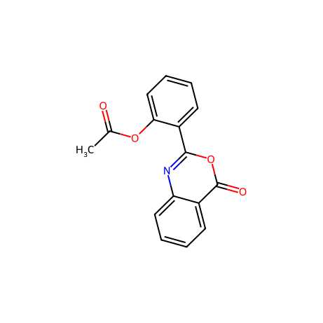 CC(=O)Oc1ccccc1-c1nc2ccccc2c(=O)o1